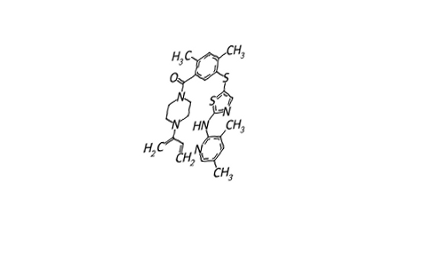 C=CC(=C)N1CCN(C(=O)c2cc(Sc3cnc(Nc4ncc(C)cc4C)s3)c(C)cc2C)CC1